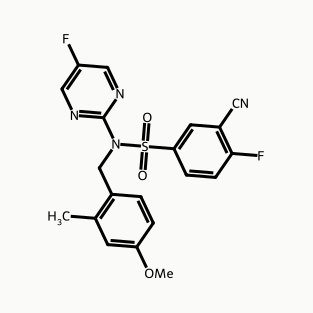 COc1ccc(CN(c2ncc(F)cn2)S(=O)(=O)c2ccc(F)c(C#N)c2)c(C)c1